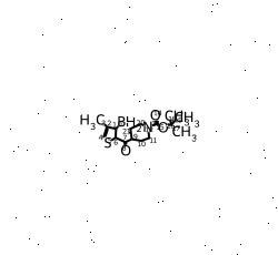 BC1C(C)=CSC1C(=O)C1CCN(C(=O)OC(C)(C)C)CC1